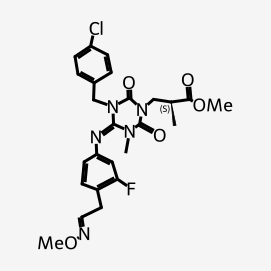 CON=CCc1ccc(N=c2n(C)c(=O)n(C[C@H](C)C(=O)OC)c(=O)n2Cc2ccc(Cl)cc2)cc1F